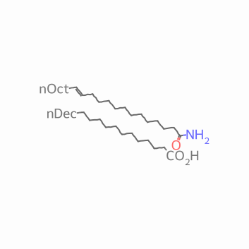 CCCCCCCCC=CCCCCCCCCCCCC(N)=O.CCCCCCCCCCCCCCCCCCCCCC(=O)O